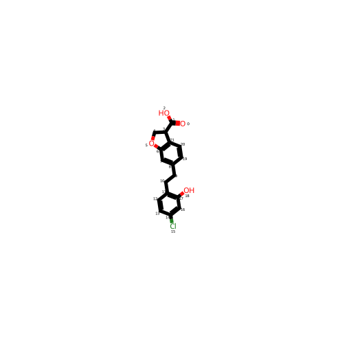 O=C(O)C1COc2cc(CCc3ccc(Cl)cc3O)ccc21